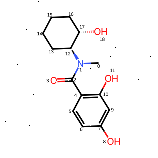 CN(C(=O)c1ccc(O)cc1O)[C@H]1CCCC[C@@H]1O